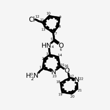 Nc1cc(NC(=O)c2cccc(Cl)c2)cc(Oc2ccccn2)n1